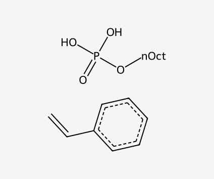 C=Cc1ccccc1.CCCCCCCCOP(=O)(O)O